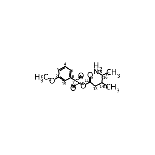 COc1cccc(S(=O)(=O)OC(=O)CC(C)C(C)N)c1